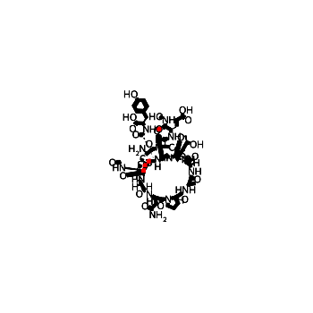 C[C@@H]1NC(=O)[C@@H]2CCCN2C(=O)[C@H](CC(N)=O)NC(=O)[C@@H]2CSSC[C@H](N)C(=O)N[C@H](C(=O)N[C@@H](CCC(=O)O)C(=O)NO)CSSC[C@H](NC1=O)C(=O)N[C@@H]([C@@H](C)O)C(=O)NCC(=O)N[C@H](C(=O)N[C@H](Cc1ccc(O)cc1)C(=O)O)CSSC[C@H](NC=O)C(=O)N2